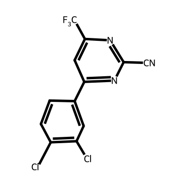 N#Cc1nc(-c2ccc(Cl)c(Cl)c2)cc(C(F)(F)F)n1